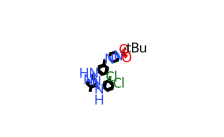 Cc1cnc(Nc2cccc(CN3CCN(C(=O)OC(C)(C)C)CC3)c2)nc1Nc1ccc(Cl)c(Cl)c1